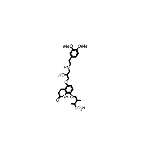 COc1ccc(CCNCC(O)COc2ccc(OCC(C)C(C)C(=O)O)c3c2CCC(=O)N3)cc1OC